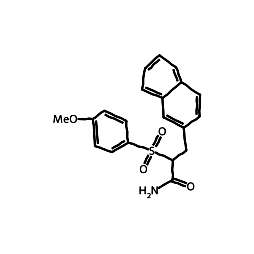 COc1ccc(S(=O)(=O)C(Cc2ccc3ccccc3c2)C(N)=O)cc1